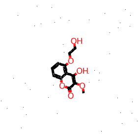 COc1c(O)c2c(OCCO)cccc2oc1=O